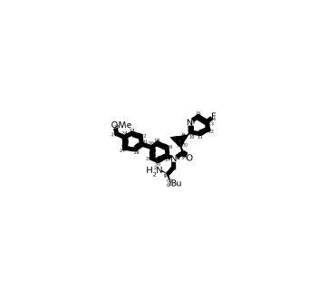 CC[C@H](C)[C@H](N)CN(C(=O)[C@H]1C[C@@H]1c1ccc(F)cn1)c1ccc(-c2ccc(COC)cc2)cc1